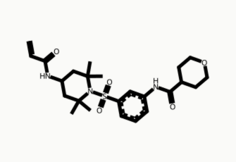 C=CC(=O)NC1CC(C)(C)N(S(=O)(=O)c2cccc(NC(=O)C3CCOCC3)c2)C(C)(C)C1